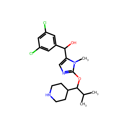 CC(C)C(Oc1ncc(C(O)c2cc(Cl)cc(Cl)c2)n1C)C1CCNCC1